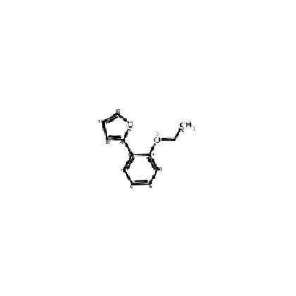 CCOc1ccccc1-c1ccco1